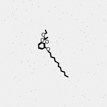 CCCCCCCCCCCCOc1cccc2c1OC(C)(OCC)O2